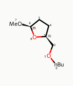 CCCCOC[C@@H]1CC[C@H](OC)O1